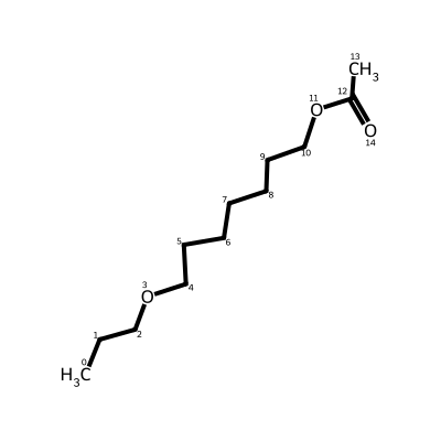 CCCOCCCCCCCOC(C)=O